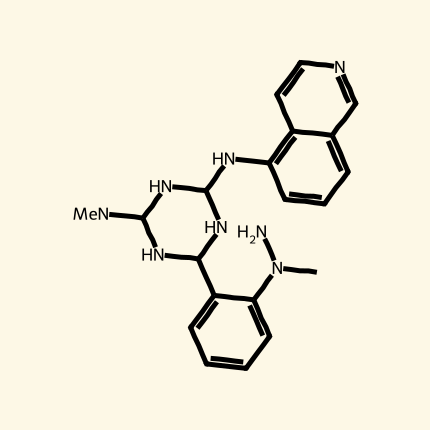 CNC1NC(Nc2cccc3cnccc23)NC(c2ccccc2N(C)N)N1